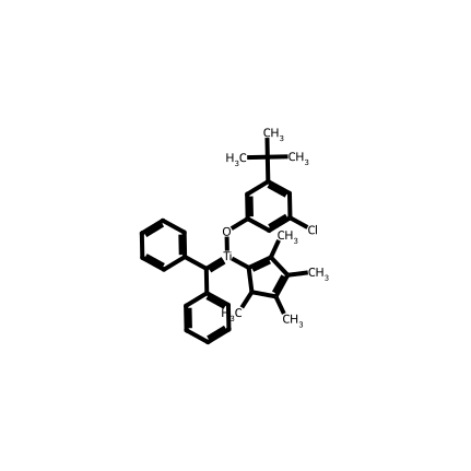 CC1=C(C)C(C)[C]([Ti]([O]c2cc(Cl)cc(C(C)(C)C)c2)=[C](c2ccccc2)c2ccccc2)=C1C